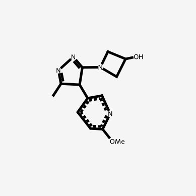 COc1ccc(C2C(C)=NN=C2N2CC(O)C2)cn1